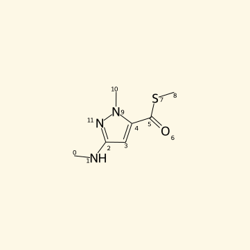 CNc1cc(C(=O)SC)n(C)n1